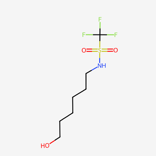 O=S(=O)(NCCCCCCO)C(F)(F)F